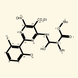 CCCN(C(=O)OC(C)(C)C)C(O)Nc1nc(-c2c(F)cccc2Cl)nc(C=O)c1C(=O)OCC